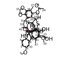 COc1ccc2[nH]c3c(c2c1)C[C@H](CO)N[C@]31CS[C@@H]2c3c(OC(C)=O)c(C)c4c(c3C(COC1=O)N1[C@@H]2C2NCC1(C)Cc1cc(C)c(OC)c(O)c12)OCO4